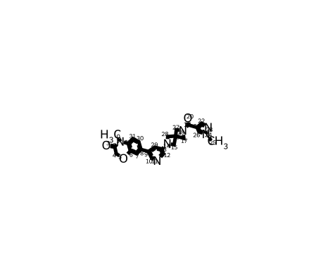 CN1C(=O)COc2cc(-c3cncc(N4CC5(CN(C(=O)c6cnn(C)c6)C5)C4)c3)ccc21